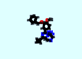 CCOc1ccc(C2=NC(C3=CC=C3)=C3C=NC=C[N+]23N)cc1OCc1ccccc1